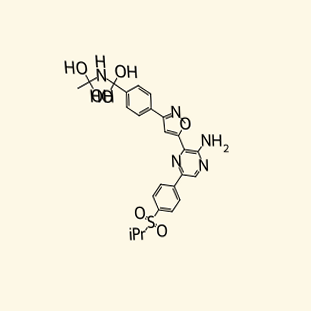 CC(C)S(=O)(=O)c1ccc(-c2cnc(N)c(-c3cc(-c4ccc(C(O)(O)NC(C)(O)O)cc4)no3)n2)cc1